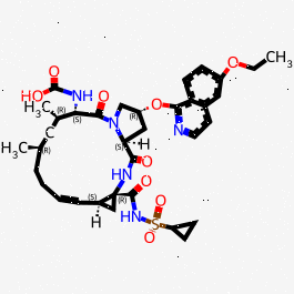 CCOc1ccc2c(O[C@@H]3C[C@H]4C(=O)N[C@]5(C(=O)NS(=O)(=O)C6CC6)C[C@H]5C=CCC[C@@H](C)C[C@@H](C)[C@H](NC(=O)O)C(=O)N4C3)nccc2c1